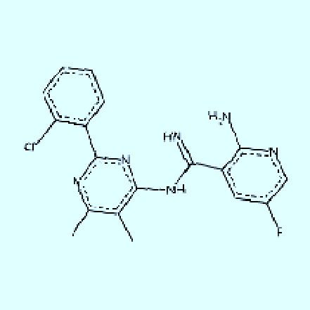 Cc1nc(-c2ccccc2Cl)nc(NC(=N)c2cc(F)cnc2N)c1C